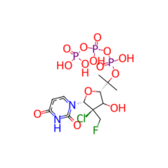 CC(C)(OP(=O)(O)OP(=O)(O)OP(=O)(O)O)[C@H]1O[C@@H](n2ccc(=O)[nH]c2=O)[C@@](Cl)(CF)C1O